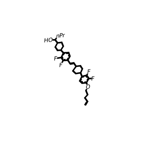 C=CCCCOc1ccc(C2CCC(/C=C/c3ccc(C4CCC(C(O)CCC)CC4)c(F)c3F)CC2)c(F)c1F